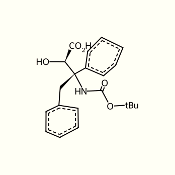 CC(C)(C)OC(=O)N[C@@](Cc1ccccc1)(c1ccccc1)[C@@H](O)C(=O)O